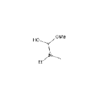 CCN(C)C(O)OC